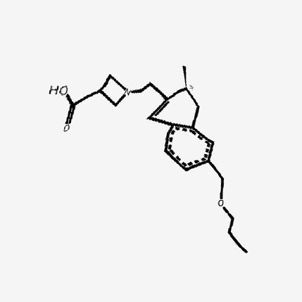 CCCOCc1ccc2c(c1)C[C@H](C)C(CN1CC(C(=O)O)C1)=C2